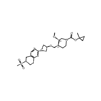 CO[C@H]1CN(C(=O)OC2(C)CC2)CC[C@H]1COC1CN(c2ncc3c(n2)CCN(S(C)(=O)=O)C3)C1